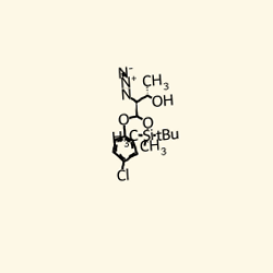 C[C@H](O)[C@H](N=[N+]=[N-])C(Oc1ccc(Cl)cc1)O[Si](C)(C)C(C)(C)C